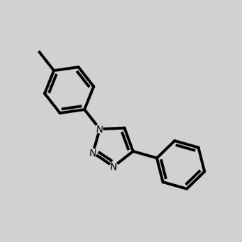 Cc1ccc(-n2cc(-c3ccccc3)nn2)cc1